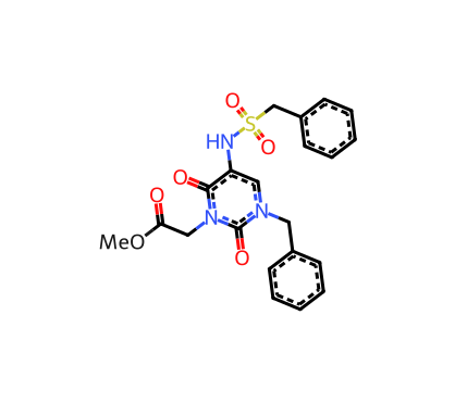 COC(=O)Cn1c(=O)c(NS(=O)(=O)Cc2ccccc2)cn(Cc2ccccc2)c1=O